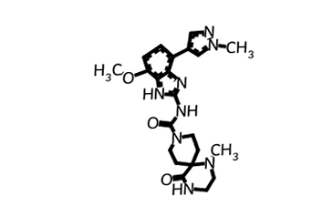 COc1ccc(-c2cnn(C)c2)c2nc(NC(=O)N3CCC4(CC3)C(=O)NCCN4C)[nH]c12